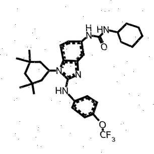 CC1(C)CC(n2c(Nc3ccc(OC(F)(F)F)cc3)nc3cc(NC(=O)NC4CCCCC4)ccc32)CC(C)(C)C1